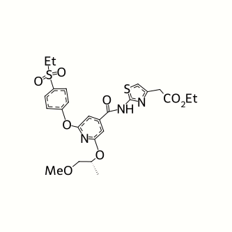 CCOC(=O)Cc1csc(NC(=O)c2cc(Oc3ccc(S(=O)(=O)CC)cc3)nc(O[C@H](C)COC)c2)n1